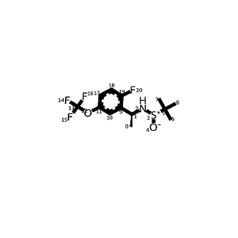 C[C@H](N[S+]([O-])C(C)(C)C)c1cc(OC(F)(F)F)ccc1F